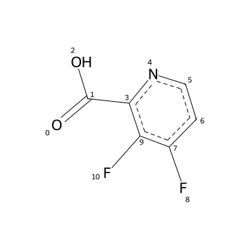 O=C(O)c1nccc(F)c1F